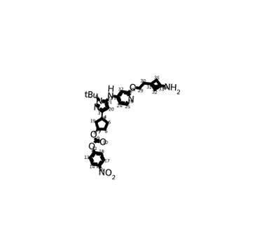 CC(C)(C)n1nc([C@H]2CC[C@@H](OC(=O)Oc3ccc([N+](=O)[O-])cc3)C2)cc1Nc1ccnc(OCCC23CC(N)(C2)C3)c1